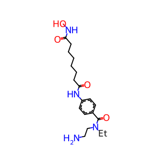 CCN(CCN)C(=O)c1ccc(NC(=O)CCCCCCC(=O)NO)cc1